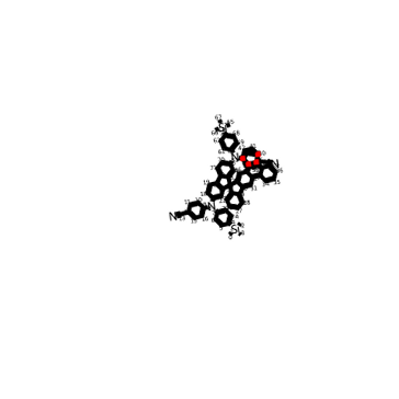 C[Si](C)(C)c1ccc(N(c2ccc(C#N)cc2)c2ccc3c(c2)C2(c4ccccc4-c4cc5c6ccccc6c6ccccc6c5cc42)c2cc(N(c4ccc(C#N)cc4)c4ccc([Si](C)(C)C)cc4)ccc2-3)cc1